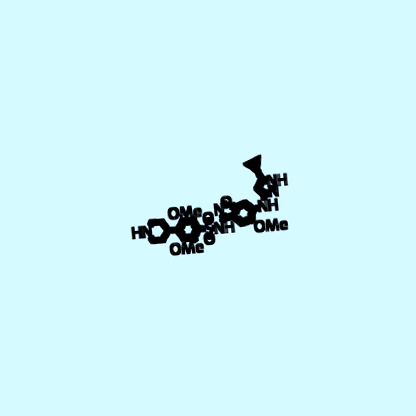 COc1cc2c(NS(=O)(=O)c3c(OC)cc(C4CCNCC4)cc3OC)noc2cc1Nc1cc(C2CC2)[nH]n1